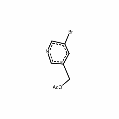 CC(=O)OCc1cncc(Br)c1